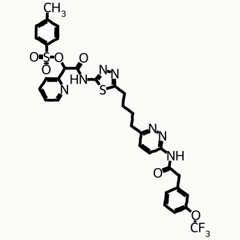 Cc1ccc(S(=O)(=O)OC(C(=O)Nc2nnc(CCCCc3ccc(NC(=O)Cc4cccc(OC(F)(F)F)c4)nn3)s2)c2ccccn2)cc1